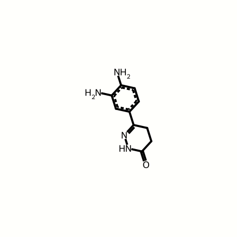 Nc1ccc(C2=NNC(=O)CC2)cc1N